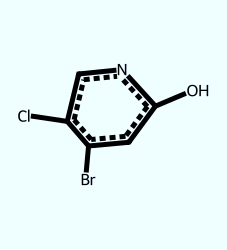 Oc1cc(Br)c(Cl)cn1